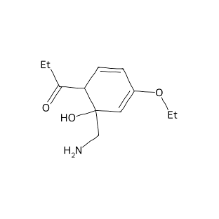 CCOC1=CC(O)(CN)C(C(=O)CC)C=C1